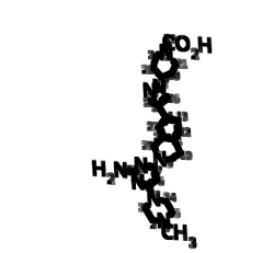 CN1CCN(c2cc(N3CCc4ccc(-c5cnn(C6CCN(C(=O)O)CC6)c5)cc4C3)nc(N)n2)CC1